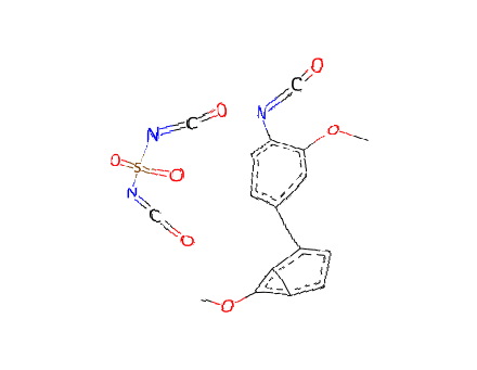 COc1cc(-c2ccc3c(OC)c2-3)ccc1N=C=O.O=C=NS(=O)(=O)N=C=O